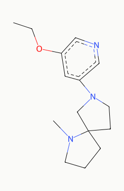 CCOc1cncc(N2CCC3(CCCN3C)C2)c1